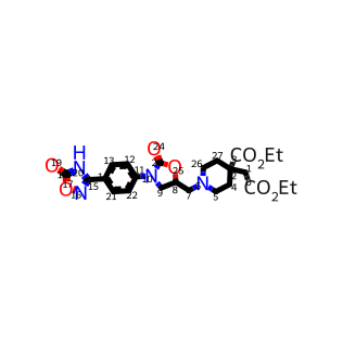 CCOC(=O)CC1(C(=O)OCC)CCN(CC2CN(c3ccc(-c4noc(=O)[nH]4)cc3)C(=O)O2)CC1